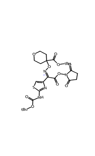 CC(C)(C)OC(=O)Nc1nc(/C(=N/OC2(C(=O)OC(C)(C)C)CCOCC2)C(=O)ON2C(=O)CCC2=O)cs1